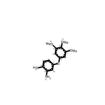 COc1cc(Sc2ccc(N)c(N)c2)cc(OC)c1OC